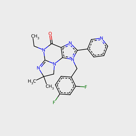 CCN1C(=O)c2nc(-c3cccnc3)n(Cc3ccc(F)cc3F)c2N2CC(C)(C)N=C12